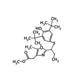 CCC(Sc1cc(C(C)(C)C)c(O)c(C(C)(C)C)c1)c1nc(CC(=O)OC)c(C)o1